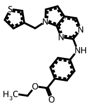 CCOC(=O)c1ccc(Nc2ncc3ccn(Cc4ccsc4)c3n2)cc1